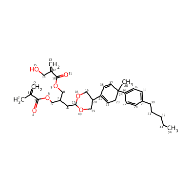 C=C(C)C(=O)OCC(COC(=O)C(=C)CO)CC1OCC(C2=CCC(C)(c3ccc(CCCCC)cc3)C=C2)CO1